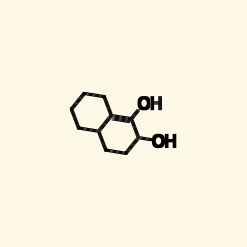 OC1=C2CCCCC2CCC1O